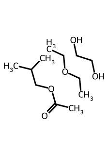 CC(=O)OCC(C)C.CCOCC.OCCO